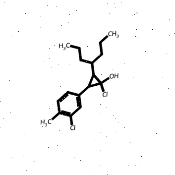 CCCC(CCC)C1C(c2ccc(C)c(Cl)c2)C1(O)Cl